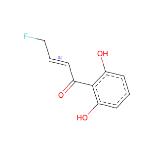 O=C(/C=C/CF)c1c(O)cccc1O